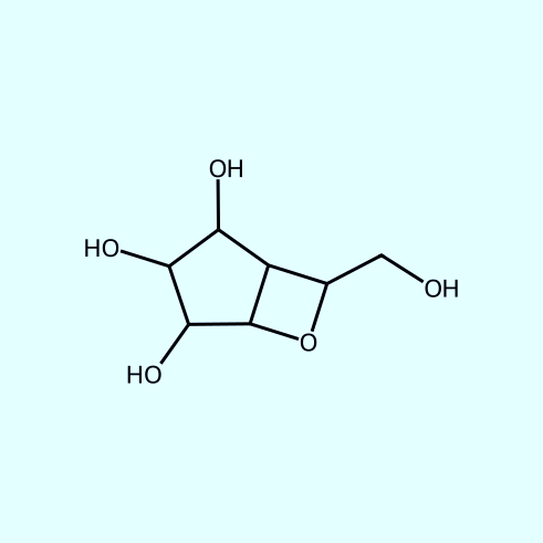 OCC1OC2C(O)C(O)C(O)C12